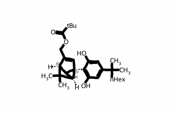 CCCCCCC(C)(C)c1cc(O)c([C@@]23C=C(COC(=O)C(C)(C)C)[C@H]4C2[C@@H]3C4(C)C)c(O)c1